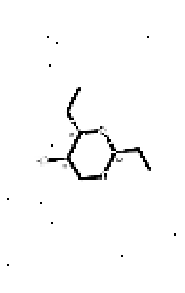 CC[C@H]1OC[C@@H](O)[C@@H](CC)O1